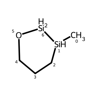 C[SiH]1CCCO[SiH2]1